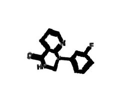 O=C1NCN(c2cccc(F)c2)c2ncccc21